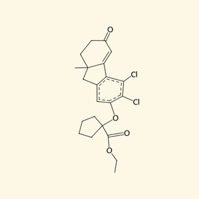 CCOC(=O)C1(Oc2cc3c(c(Cl)c2Cl)C2=CC(=O)CCC2(C)C3)CCCC1